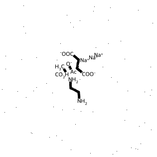 CC(=O)O.CC(=O)[O-].NCCN.O=C([O-])CCC(=O)[O-].[Na+].[Na+].[Na+]